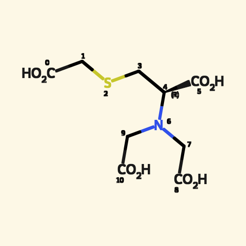 O=C(O)CSC[C@@H](C(=O)O)N(CC(=O)O)CC(=O)O